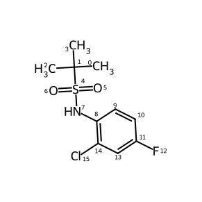 CC(C)(C)S(=O)(=O)Nc1ccc(F)cc1Cl